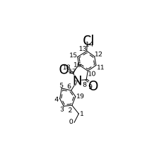 CCc1cccc(N2C(=O)c3ccc(Cl)cc3C2=O)c1